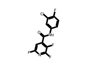 O=C(Nc1ccc(F)c(Cl)c1)c1cc(F)nc(F)c1F